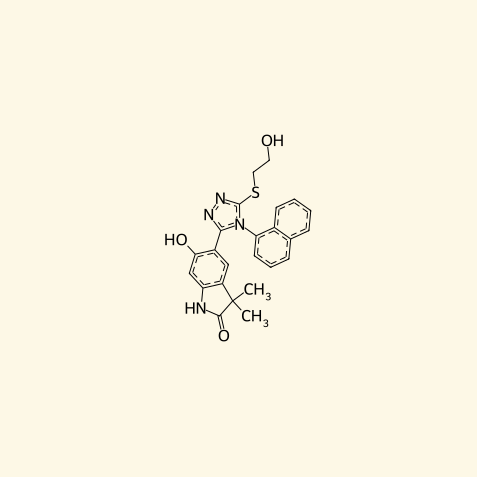 CC1(C)C(=O)Nc2cc(O)c(-c3nnc(SCCO)n3-c3cccc4ccccc34)cc21